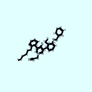 CCCCCCc1ccccc1-c1cn(CC#N)cc(-c2cccc(SCC3=CC=C[C][C]3)c2CC)c1=S